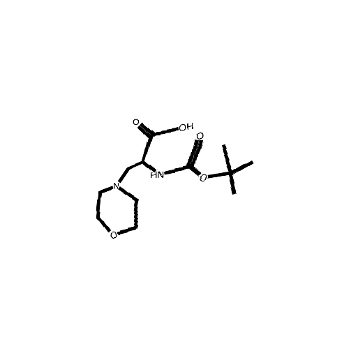 CC(C)(C)OC(=O)NC(CN1CCOCC1)C(=O)O